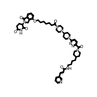 O=C(/C=C/c1cccnc1)NCCCCC1CCN(C(=O)c2ccc(N3CCC(N4CCN(C(=O)CCCCCCOc5cccc6c5CN(C5CCC(=O)NC5=O)C6=O)CC4)CC3)nn2)CC1